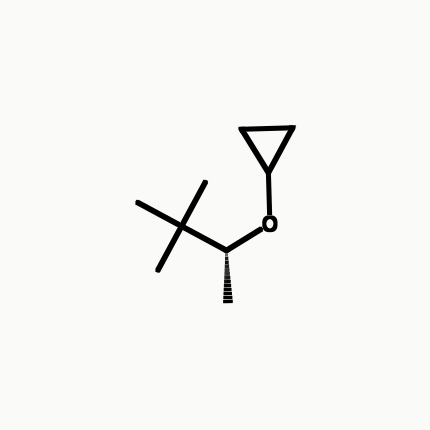 C[C@@H](OC1CC1)C(C)(C)C